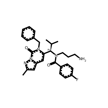 Cc1cc2cc([C@@H](C(C)C)N(CCCN)C(=O)c3ccc(F)cc3)n(Cc3ccccc3)c(=O)n2n1